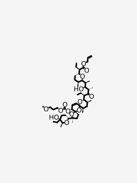 C=CCOC(=O)[C@H](CC)[C@H]1CC[C@H](C)[C@H]([C@@H](C)[C@H](O)[C@H](C)C(=O)[C@H](CC)[C@H]2O[C@]3(C=C[C@@H](OC(=O)OCCCOC)[C@]4(CC[C@@](C)([C@H]5CC[C@](O)(CC)[C@H](C)O5)O4)O3)[C@H](C)C[C@@H]2C)O1